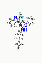 FC1CN([C@H]2CC[C@H](CNc3nc(N4CCOCC4)cc(-n4c(C(F)F)nc5ccccc54)n3)CC2)C1